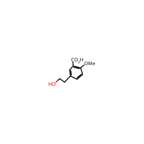 COc1ccc(CCO)cc1C(=O)O